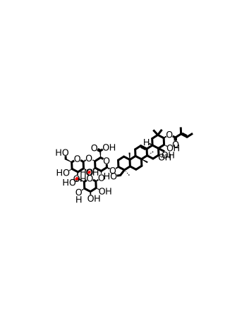 C/C=C(\C)C(=O)O[C@H]1[C@H](O)C2(CO)[C@H](O)C[C@]3(C)C(=CCC4[C@@]5(C)CC[C@H](O[C@@H]6O[C@H](C(=O)O)[C@@H](O[C@@H]7O[C@H](CO)[C@@H](O)[C@H](O)[C@H]7O)[C@H](O)[C@H]6O[C@@H]6O[C@H](CO)[C@@H](O)[C@H](O)[C@H]6O)[C@](C)(CO)C5CC[C@]43C)[C@@H]2CC1(C)C